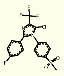 CS(=O)(=O)c1ccc(-n2c(-c3ccc(F)cc3)nc(C(F)(F)F)c2Cl)cc1